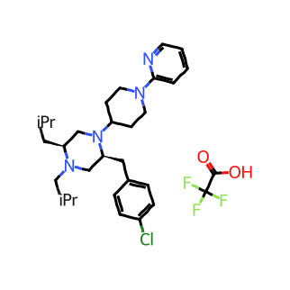 CC(C)C[C@H]1CN(C2CCN(c3ccccn3)CC2)[C@@H](Cc2ccc(Cl)cc2)CN1CC(C)C.O=C(O)C(F)(F)F